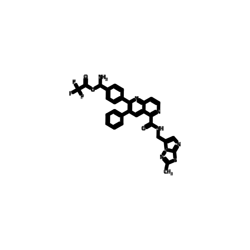 Cc1nn2c(CNC(=O)c3nccc4nc(-c5ccc(C(N)OC(=O)C(F)(F)F)cc5)c(-c5ccccc5)cc34)cnc2s1